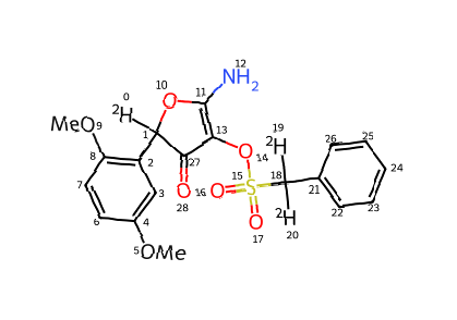 [2H]C1(c2cc(OC)ccc2OC)OC(N)=C(OS(=O)(=O)C([2H])([2H])c2ccccc2)C1=O